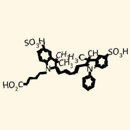 CC1(C)C(/C=C/C=C/C=C2/N(CCCCCC(=O)O)c3ccc(S(=O)(=O)O)cc3C2(C)C)=[N+](c2ccccc2)c2ccc(S(=O)(=O)O)cc21